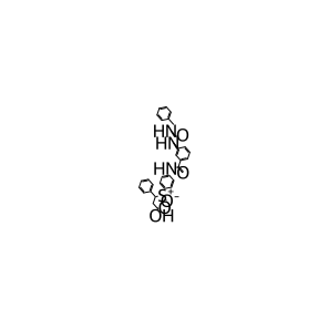 O=C(O)CC(c1ccccc1)[S+]([O-])c1ccc(NC(=O)c2cccc(NC(=O)NCc3ccccc3)c2)cc1